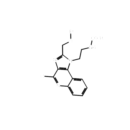 CCOCc1nc2c(Cl)nc3ccccc3c2n1CCNC(=O)O